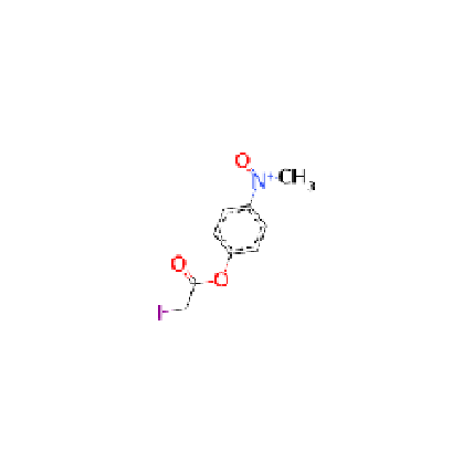 C[N+](=O)c1ccc(OC(=O)CI)cc1